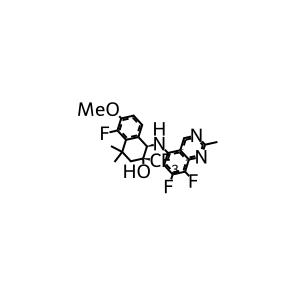 COc1ccc2c(c1F)C(C)(C)C[C@](O)(C(F)(F)F)[C@@H]2Nc1cc(F)c(F)c2nc(C)ncc12